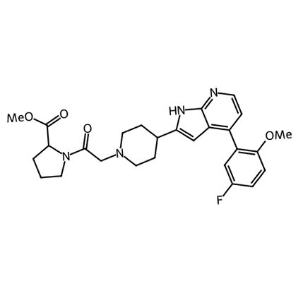 COC(=O)C1CCCN1C(=O)CN1CCC(c2cc3c(-c4cc(F)ccc4OC)ccnc3[nH]2)CC1